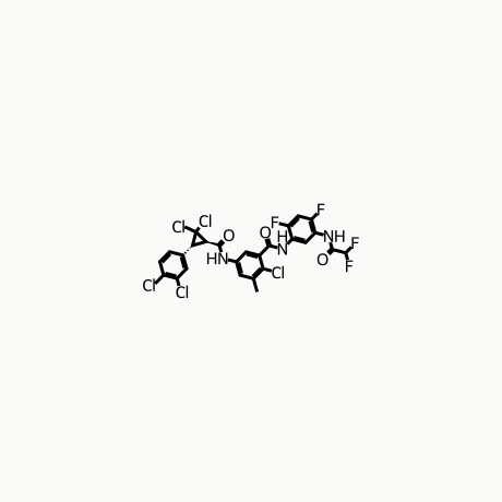 Cc1cc(NC(=O)[C@H]2[C@H](c3ccc(Cl)c(Cl)c3)C2(Cl)Cl)cc(C(=O)Nc2cc(NC(=O)C(F)F)c(F)cc2F)c1Cl